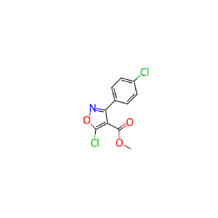 COC(=O)c1c(-c2ccc(Cl)cc2)noc1Cl